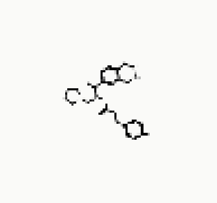 C=C(CCc1ccc(F)cc1)NC(CN1CCCC1)C(C)c1ccc2c(c1)CCCC2